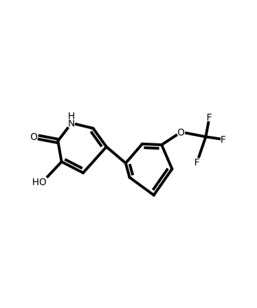 O=c1[nH]cc(-c2cccc(OC(F)(F)F)c2)cc1O